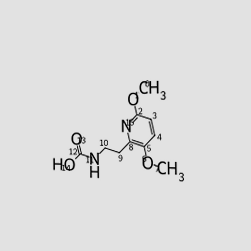 COc1ccc(OC)c(CCNC(=O)O)n1